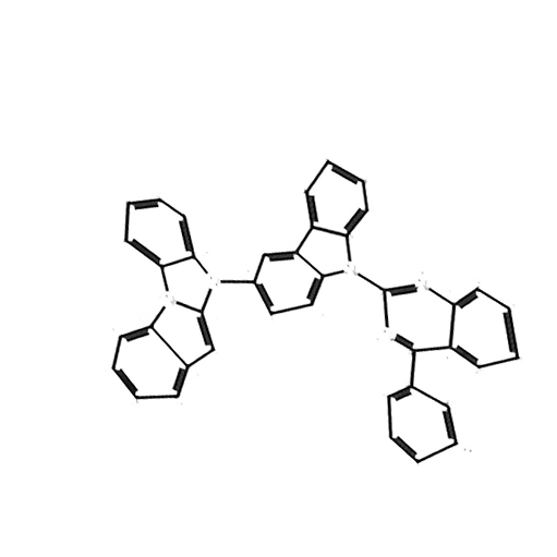 c1ccc(-c2nc(-n3c4ccccc4c4cc(-n5c6ccccc6n6c7ccccc7cc56)ccc43)nc3ccccc23)cc1